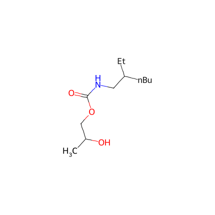 CCCCC(CC)CNC(=O)OCC(C)O